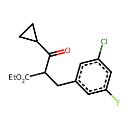 CCOC(=O)C(Cc1cc(F)cc(Cl)c1)C(=O)C1CC1